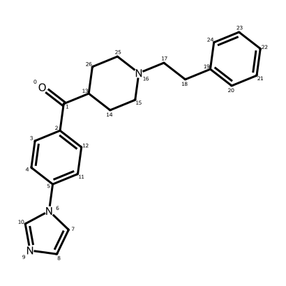 O=C(c1ccc(-n2ccnc2)cc1)C1CCN(CCc2ccccc2)CC1